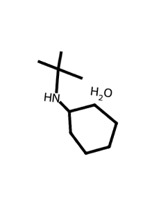 CC(C)(C)NC1CCCCC1.O